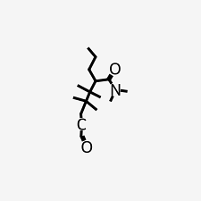 CCCC(C(=O)N(C)C)C(C)(C)C(C)(C)CCC=O